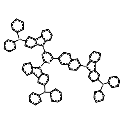 c1ccc(N(c2ccccc2)c2ccc3c(c2)c2ccccc2n3-c2ccc3cc(-c4cc(-n5c6ccccc6c6cc(N(c7ccccc7)c7ccccc7)ccc65)nc(-n5c6ccccc6c6cc(N(c7ccccc7)c7ccccc7)ccc65)n4)ccc3c2)cc1